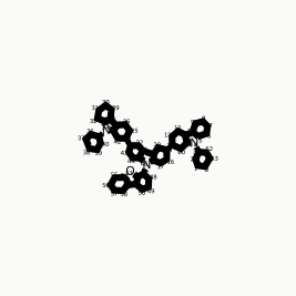 c1ccc(-n2c3ccccc3c3ccc(-c4ccc5c(c4)c4cc(-c6ccc7c8ccccc8n(-c8ccccc8)c7c6)ccc4n5-c4cccc5c4oc4ccccc45)cc32)cc1